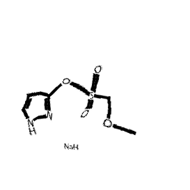 COCS(=O)(=O)Oc1cc[nH]n1.[NaH]